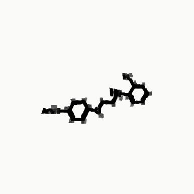 CCc1ccccc1NCCOc1ccc(NC(C)=O)cc1